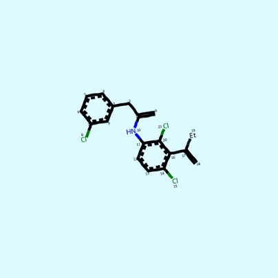 C=C(Cc1cccc(Cl)c1)Nc1ccc(Cl)c(C(=C)CC)c1Cl